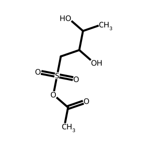 CC(=O)OS(=O)(=O)CC(O)C(C)O